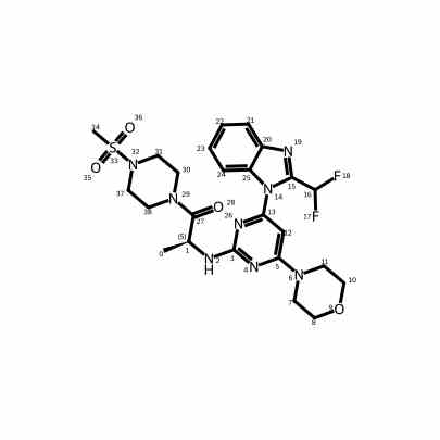 C[C@H](Nc1nc(N2CCOCC2)cc(-n2c(C(F)F)nc3ccccc32)n1)C(=O)N1CCN(S(C)(=O)=O)CC1